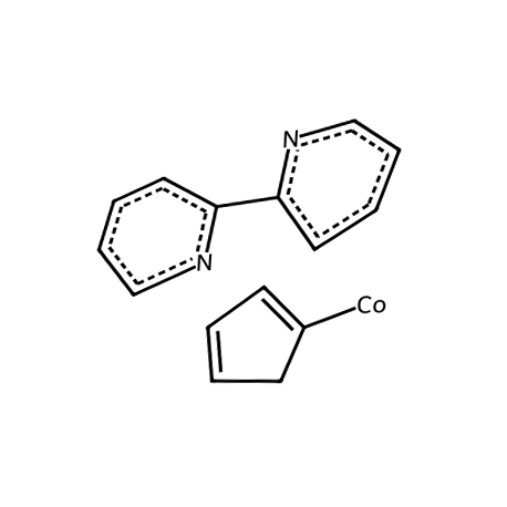 [Co][C]1=CC=CC1.c1ccc(-c2ccccn2)nc1